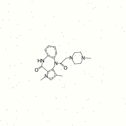 Cc1cn(C)c2c1N(C(=O)CN1CCN(C)CC1)c1ccccc1NC2=O